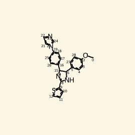 COc1ccc(C2NC(c3cccs3)=NC2c2ccc(-n3ccnc3)cc2)cc1